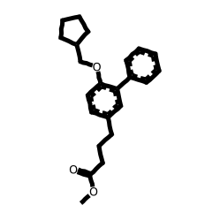 COC(=O)CCCc1ccc(OCC2CCCC2)c(-c2ccccc2)c1